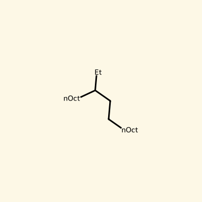 [CH2]CCCCCCCCCC(CC)CCCCCCC[CH2]